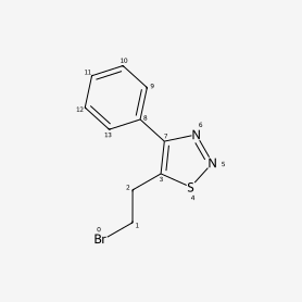 BrCCc1snnc1-c1ccccc1